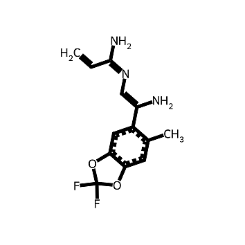 C=C/C(N)=N\C=C(/N)c1cc2c(cc1C)OC(F)(F)O2